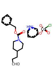 O=CCCC1CCN(C(=O)OCc2ccccc2)CC1.[O]=[Cr](=[O])([O-])[Cl].c1cc[nH+]cc1